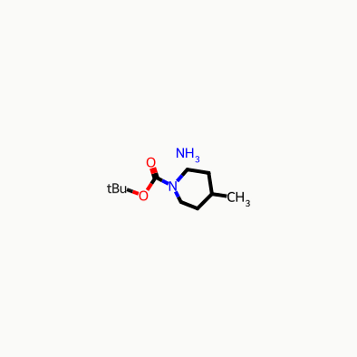 CC1CCN(C(=O)OC(C)(C)C)CC1.N